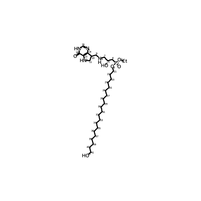 CCOP(=O)(C[C@H](O)CNCC1CNc2c1nc[nH]c2=O)OCCCCCCCCCCCCCCCCCCCCCO